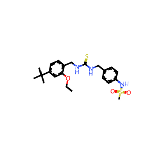 CCOc1cc(C(C)(C)C)ccc1CNC(=S)NCc1ccc(NS(C)(=O)=O)cc1